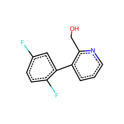 OCc1ncccc1-c1cc(F)ccc1F